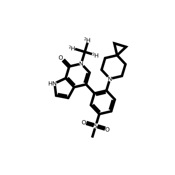 [2H]C([2H])([2H])n1cc(-c2cc(S(C)(=O)=O)ccc2N2CCC3(CC2)CC3)c2cc[nH]c2c1=O